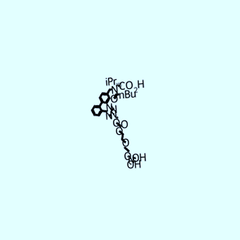 CCCCC(=O)N(Cc1ccc(-c2ccccc2-c2nnn(COC(=O)OCCOCCON(O)O)n2)cc1)[C@H](C(=O)O)C(C)C